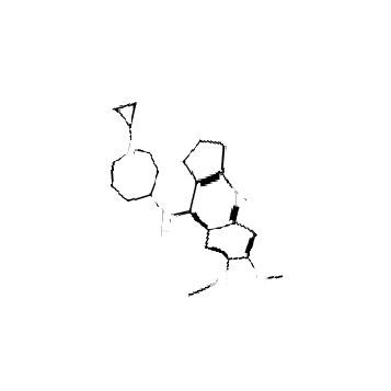 COc1cc2nc3c(c(N[C@H]4CCCN(C5CC5)CC4)c2cc1OC)CCC3